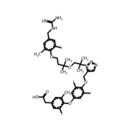 Cc1cc(CNC(=N)N)cc(I)c1OCCC(C)(C)OCC(C)(C)n1nncc1COc1c(I)cc(Oc2c(C)cc(CC(=O)O)cc2I)cc1I